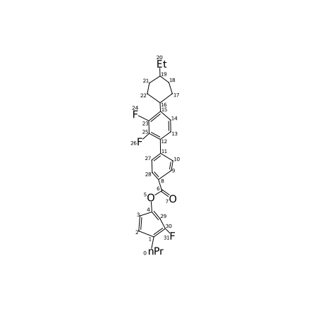 CCCc1ccc(OC(=O)c2ccc(-c3ccc(C4CCC(CC)CC4)c(F)c3F)cc2)cc1F